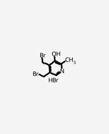 Br.Cc1ncc(CBr)c(CBr)c1O